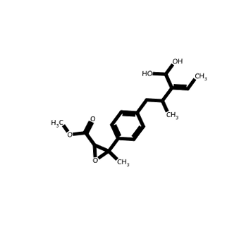 CC=C(C(O)O)C(C)Cc1ccc(C2(C)OC2C(=O)OC)cc1